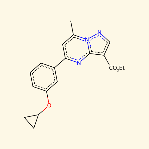 CCOC(=O)c1cnn2c(C)cc(-c3cccc(OC4CC4)c3)nc12